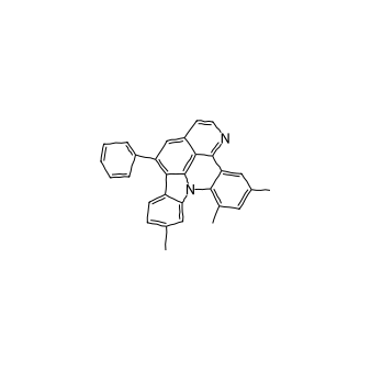 Cc1cc(C)c2c(c1)c1nccc3cc(-c4ccccc4)c4c5ccc(C)cc5n2c4c31